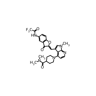 CN(C)C(=O)C1CCN(c2ccnc3c2c(C=C2Oc4ccc(NC(=O)C(F)(F)F)cc4C2=O)cn3C)CC1